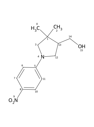 CC1(C)CN(c2ccc([N+](=O)[O-])cc2)CC1CO